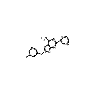 Nc1nc(-c2cnccn2)nc2nn(Cc3cccc(F)c3)cc12